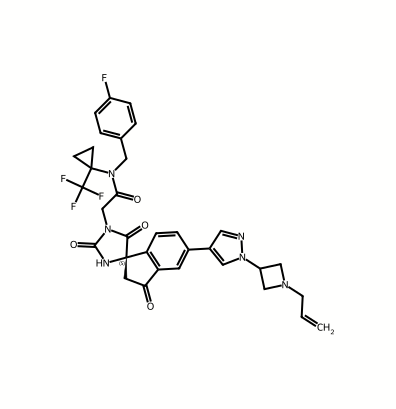 C=CCN1CC(n2cc(-c3ccc4c(c3)C(=O)C[C@]43NC(=O)N(CC(=O)N(Cc4ccc(F)cc4)C4(C(F)(F)F)CC4)C3=O)cn2)C1